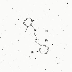 Cc1cccc(C)c1N=CC=Nc1c(C(C)C)cccc1C(C)C.[Ni]